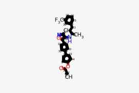 C#CC(=O)Oc1ccc(-c2ccc(-c3onc(C)c3NC(C)CCc3cccc(C(F)(F)F)c3)cc2)cc1